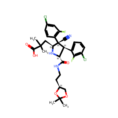 CC1(C)OC[C@H](CCNC(=O)[C@@H]2N[C@@H](CC(C)(C)C(=O)O)[C@](C#N)(c3ccc(Cl)cc3F)[C@H]2c2cccc(Cl)c2F)O1